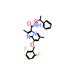 Cc1cc(OCc2c(F)cccc2F)c2nc(C)c(C(=O)NOC(C)c3ccccc3)n2c1